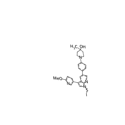 COc1ccc(-c2cn(SI)c3ncc(-c4ccc(N5CCC(C)(O)CC5)cc4)cc23)cn1